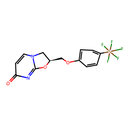 O=c1ccn2c(n1)O[C@H](COc1ccc(S(F)(F)(F)(F)F)cc1)C2